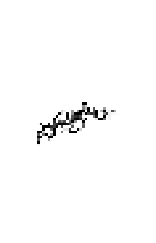 Cc1cc([C@H](O)[C@H]2CCCC3=Cc4c(cnn4-c4ccc(F)cc4)C[C@@]32C)cc(C)c1F